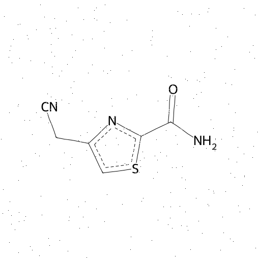 N#CCc1csc(C(N)=O)n1